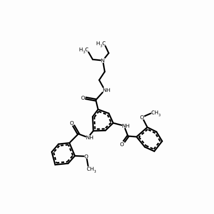 CCN(CC)CCNC(=O)c1cc(NC(=O)c2ccccc2OC)cc(NC(=O)c2ccccc2OC)c1